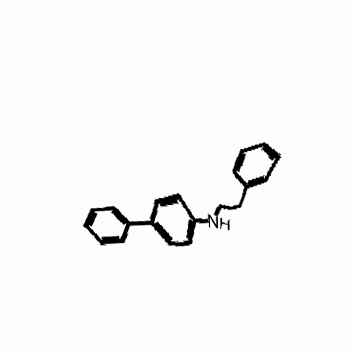 c1ccc(CCNc2ccc(-c3ccccc3)cc2)cc1